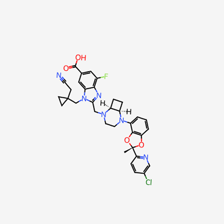 C[C@]1(c2ccc(Cl)cn2)Oc2cccc(N3CCN(Cc4nc5c(F)cc(C(=O)O)cc5n4CC4(CC#N)CC4)[C@H]4CC[C@H]43)c2O1